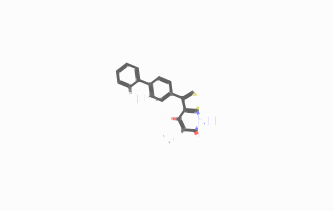 N#Cc1c(O)c2c(-c3ccc(-c4ccccc4C=O)cc3)csc2[nH]c1=O